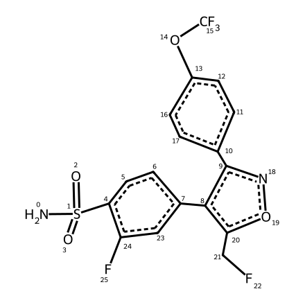 NS(=O)(=O)c1ccc(-c2c(-c3ccc(OC(F)(F)F)cc3)noc2CF)cc1F